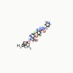 C[Si](C)(C)CCOCn1cc(Br)c2c(Oc3c(F)cc(NC(=O)NCc4ccncc4)cc3F)ccnc21